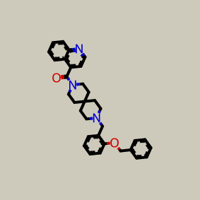 O=C(c1ccnc2ccccc12)N1CCC2(CCN(Cc3ccccc3OCc3ccccc3)CC2)CC1